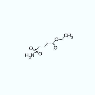 CCOC(=O)CCCS(N)(=O)=O